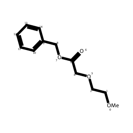 COCCOCC(=O)OCc1ccccc1